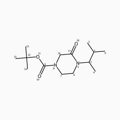 CC(C)C(C)N1CCN(C(=O)OC(C)(C)C)CC1=O